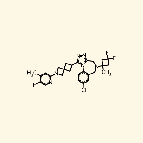 Cc1cc(N2CC3(CC(c4nnc5n4-c4ccc(Cl)cc4CN(C4(C)CC(F)(F)C4)C5)C3)C2)ncc1F